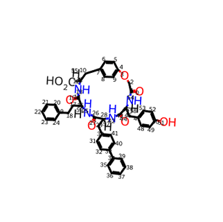 O=C1COc2ccc(cc2)C[C@@H](C(=O)O)NC(=O)[C@H](CCc2ccccc2)NC(=O)[C@@H](Cc2ccc(-c3ccccc3)cc2)NC(=O)[C@H](Cc2ccc(O)cc2)N1